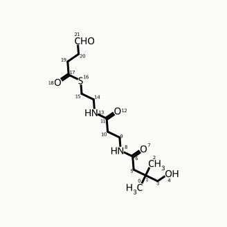 CC(C)(CO)CC(=O)NCCC(=O)NCCSC(=O)CCC=O